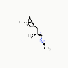 C/C=N/C=C(\C)CC1C[C@@]2(C)CC12